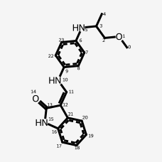 COCC(C)Nc1ccc(NC=C2C(=O)Nc3ccccc32)cc1